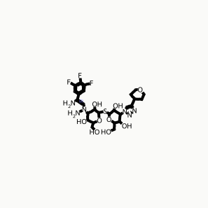 N/C(=C\N(N)C1C(O)C(CO)OC(SC2OC(CO)C(O)C(n3cc(C4CCOCC4)nn3)C2O)C1O)c1cc(F)c(F)c(F)c1